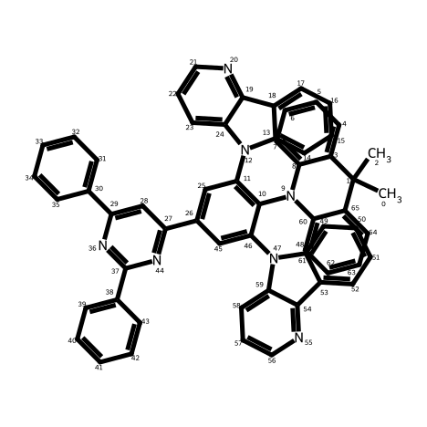 CC1(C)c2ccccc2N(c2c(-n3c4ccccc4c4ncccc43)cc(-c3cc(-c4ccccc4)nc(-c4ccccc4)n3)cc2-n2c3ccccc3c3ncccc32)c2ccccc21